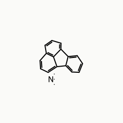 [N].c1ccc2c(c1)-c1cccc3cccc-2c13